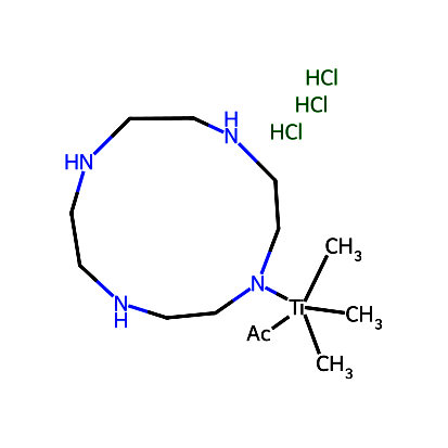 C[C](=O)[Ti]([CH3])([CH3])([CH3])[N]1CCNCCNCCNCC1.Cl.Cl.Cl